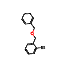 CCc1ccccc1COCC1=CCCC=C1